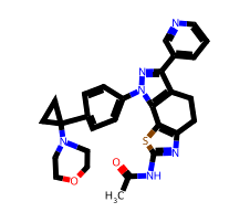 CC(=O)Nc1nc2c(s1)-c1c(c(-c3cccnc3)nn1-c1ccc(C3(N4CCOCC4)CC3)cc1)CC2